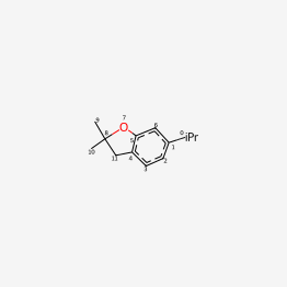 CC(C)c1ccc2c(c1)OC(C)(C)C2